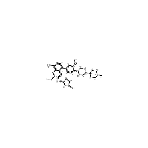 CCc1nc2c(N)ncc(-c3ccc(N4CCC(N5CCN(C)CC5)CC4)c(OC)c3)c2nc1NC1CCC(O)C1